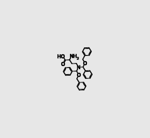 NC(CCN(C(OCc1ccccc1)c1ccccc1)C(OCc1ccccc1)c1ccccc1)C(=O)O